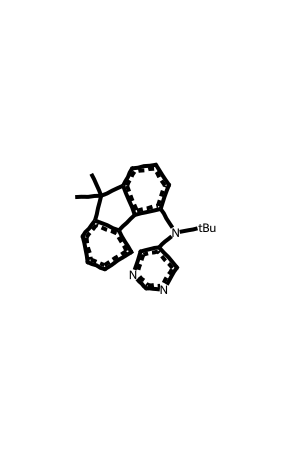 CC1(C)c2ccccc2-c2c(N(c3cncnc3)C(C)(C)C)cccc21